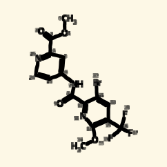 COC(=O)c1cc(NC(=O)c2nc(OC)c(C(F)(F)F)cc2Br)ccn1